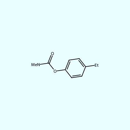 CCc1ccc(OC(=O)NC)cc1